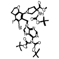 COC(=O)[C@@]1(NC(=O)OC(C)(C)C)CCN(c2c(Cn3cnc4c(N(C(=O)OC(C)(C)C)C(=O)OC(C)(C)C)ncnc43)c(Br)c(F)c3c2OCC3)C1